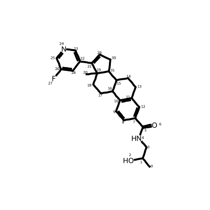 CC(O)CNC(=O)c1ccc2c(c1)CCC1C2CCC2(C)C(c3cncc(F)c3)=CCC12